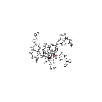 COCOc1cc(-c2nc(OC)c3c(N[C@@H]4CC[C@H](C(=O)[O-])C4)nc(OC[C@@]45CCCN4C[C@H](F)C5)nc3c2F)c2c(C#C[Si](C(C)C)(C(C)C)C(C)C)c(F)ccc2c1.[Na+]